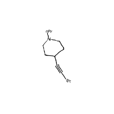 CCCN1CCC(C#CC(C)C)CC1